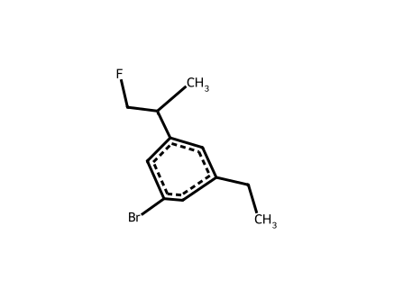 CCc1cc(Br)cc([C](C)CF)c1